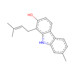 CC(C)=CCc1c(O)ccc2c1[nH]c1cc(C)ccc12